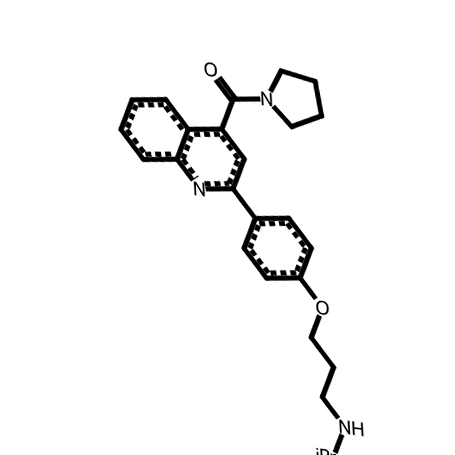 CC(C)NCCCOc1ccc(-c2cc(C(=O)N3CCCC3)c3ccccc3n2)cc1